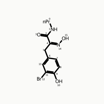 CCCNC(=O)C(Cc1ccc(O)c(Br)c1)=NO